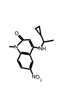 CC(Nc1cc(=O)n(C)c2ccc([N+](=O)[O-])cc12)C1CC1